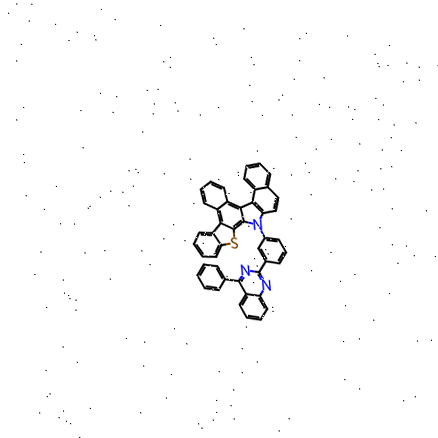 c1ccc(-c2nc(-c3cccc(-n4c5ccc6ccccc6c5c5c6ccccc6c6c7ccccc7sc6c54)c3)nc3ccccc23)cc1